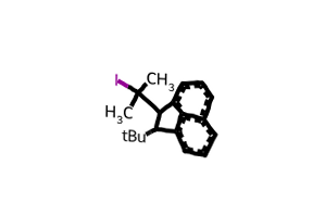 CC(C)(C)C1c2cccc3cccc(c23)C1C(C)(C)I